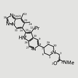 CNC(=O)CN1CCC(c2cc3c(C(C)C)c(-c4cn5ncnc5c(C)c4C)[nH]c3cn2)CC1